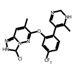 CC1=CC2=NNC(Cl)N2N=C1Oc1cc(C(F)(F)F)ccc1C1=C(C)NCN=C1